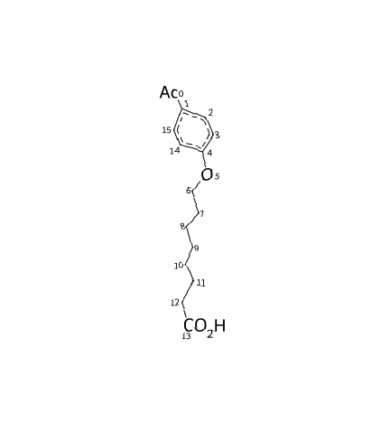 CC(=O)c1ccc(OCCCCCCCC(=O)O)cc1